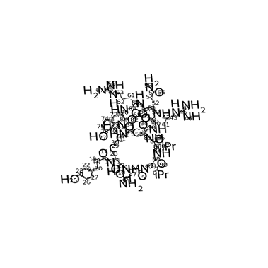 CC(C)C[C@@H]1NC(=O)[C@H](CC(N)=O)NC(=O)C(NC(=O)[C@@H](C)Cc2ccc(O)cc2)CCCCNC(=O)C[C@@H](C(=O)N[C@@H](CCCNC(=N)N)C(=O)N[C@@H](CCC(N)=O)C(=O)N[C@@H](CCCNC(=N)N)C(=O)N[C@@H](Cc2ccc(O)cc2)C(N)=O)NC(=O)[C@H](C(C)C)NC1=O